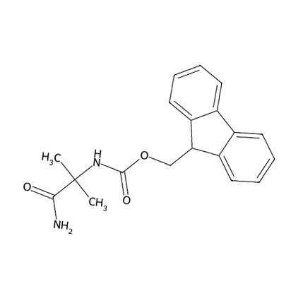 CC(C)(NC(=O)OCC1c2ccccc2-c2ccccc21)C(N)=O